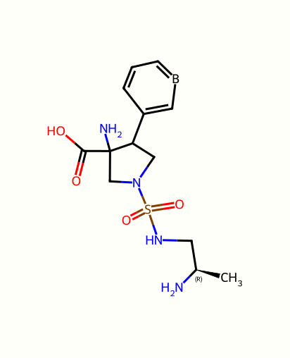 C[C@@H](N)CNS(=O)(=O)N1CC(c2cbccc2)C(N)(C(=O)O)C1